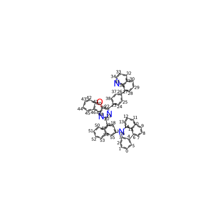 c1ccc2c(c1)-c1cccc3cccc(c13)N2c1cc(-c2nc(-c3ccc(-c4cccc5cccnc45)cc3)c3oc4ccccc4c3n2)c2ccccc2c1